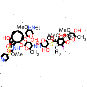 CCN[C@H]1CO[C@@H](O[C@H]2[C@H](O[C@H]3C#C/C=C\C#C[C@]4(O)CC(=O)C(NC(=O)OC)=C3/C4=C\CSSc3ccncc3)O[C@H](C)[C@@H](NO[C@H]3C[C@H](O)[C@H](SC(=O)c4c(C)c(I)c(O[C@@H]5O[C@@H](C)[C@H](O)[C@@H](OC)[C@H]5O)c(OC)c4OC)[C@@H](C)O3)[C@@H]2O)C[C@@H]1OC